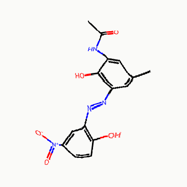 CC(=O)Nc1cc(C)cc(N=Nc2cc([N+](=O)[O-])ccc2O)c1O